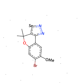 COc1cc2c(cc1Br)OC(C)(C)c1[se]nnc1-2